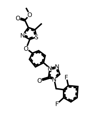 COC(=O)c1nc(Oc2ccc(-n3ncn(Cc4c(F)cccc4F)c3=O)cc2)sc1C